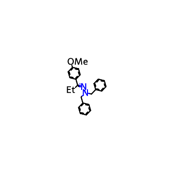 CC/C(=N\N(Cc1ccccc1)Cc1ccccc1)c1ccc(OC)cc1